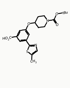 Cc1cnc(-c2cc(OC3CCN(C(=O)OC(C)(C)C)CC3)cc(C(=O)O)c2)s1